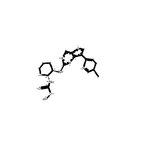 CC1C=NC(c2csc3cnc(N[C@@H]4CCCO[C@H]4NC(=O)OC(C)(C)C)nc23)=CC1